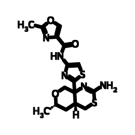 Cc1nc(C(=O)Nc2csc(C34CO[C@@H](C)C[C@H]3CSC(N)=N4)n2)co1